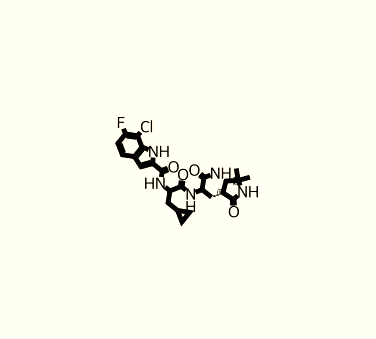 CC1(C)C[C@@H](CC(NC(=O)C(CC2CC2)NC(=O)c2cc3ccc(F)c(Cl)c3[nH]2)C(N)=O)C(=O)N1